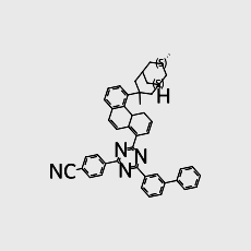 C[C@H]1CC2C[C@H](C1)CC(C)(c1cccc3c1C1CC=CC(c4nc(-c5ccc(C#N)cc5)nc(-c5cccc(-c6ccccc6)c5)n4)=C1C=C3)C2